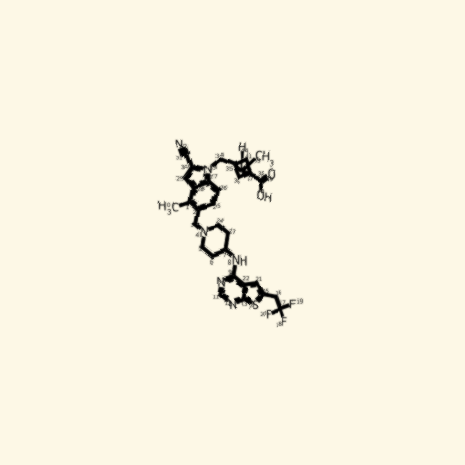 Cc1c(CN2CCC(Nc3ncnc4sc(CC(F)(F)F)cc34)CC2)ccc2c1cc(C#N)n2CC12CC(C(=O)O)(C1)[C@H]2C